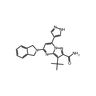 CC(C)(C)c1c(C(N)=O)nn2c(-c3cn[nH]c3)cc(N3Cc4ccccc4C3)nc12